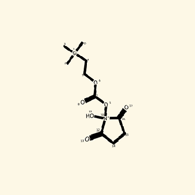 C[Si](C)(C)CCOC(=O)O[N+]1(O)C(=O)CCC1=O